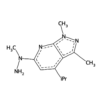 Cc1nn(C)c2nc(N(C)N)cc(C(C)C)c12